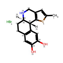 Br.Cc1cc2c(s1)[C@@H]1c3cc(O)c(O)cc3CC[C@H]1NC2